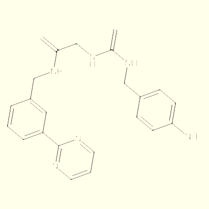 C=C(CNC(=C)NCc1ccc(N)cc1)NCc1cccc(-c2ncccn2)c1